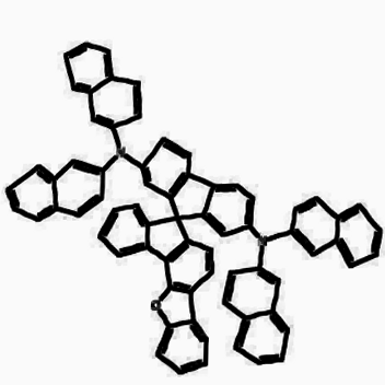 c1ccc2c(c1)-c1c(ccc3c1oc1ccccc13)C21c2cc(N(c3ccc4ccccc4c3)c3ccc4ccccc4c3)ccc2-c2ccc(N(c3ccc4ccccc4c3)c3ccc4ccccc4c3)cc21